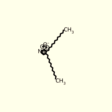 CCCCCCCCCCCCCc1cccc(S(=O)(=O)[O-])c1CCCCCCCCCCCCC.[Na+]